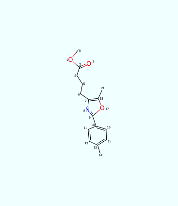 COC(=O)CCCc1nc(-c2ccc(C)cc2)oc1C